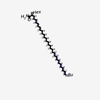 CCCC/C=C/C=C/C=C/C=C/C=C/C=C/CCCCCCCCCCCCCCCC/C=C/CCC(CCCCCC)C(N)=O